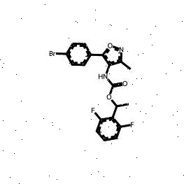 Cc1noc(-c2ccc(Br)cc2)c1NC(=O)OC(C)c1c(F)cccc1F